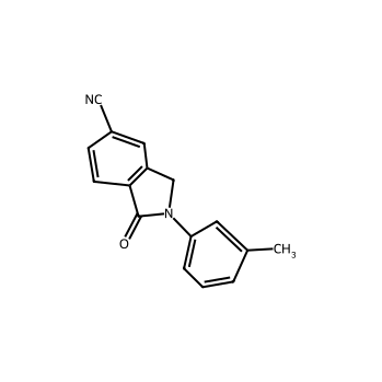 Cc1cccc(N2Cc3cc(C#N)ccc3C2=O)c1